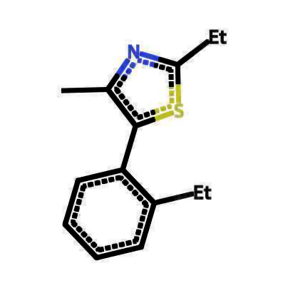 CCc1nc(C)c(-c2ccccc2CC)s1